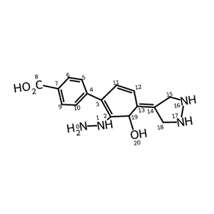 NNC1=C(c2ccc(C(=O)O)cc2)C=CC(=C2CNNC2)C1O